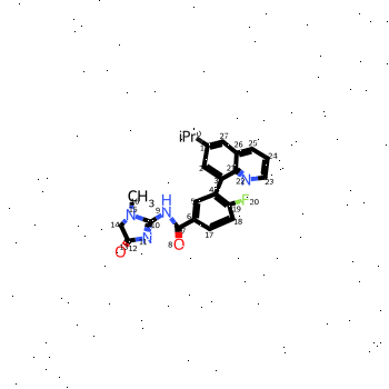 CC(C)c1cc(-c2cc(C(=O)NC3=NC(=O)CN3C)ccc2F)c2ncccc2c1